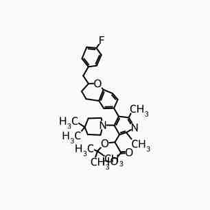 Cc1nc(C)c(C(OC(C)(C)C)C(=O)O)c(N2CCC(C)(C)CC2)c1-c1ccc2c(c1)CCC(Cc1ccc(F)cc1)O2